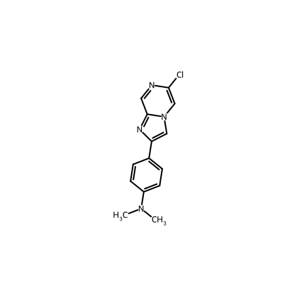 CN(C)c1ccc(-c2cn3cc(Cl)ncc3n2)cc1